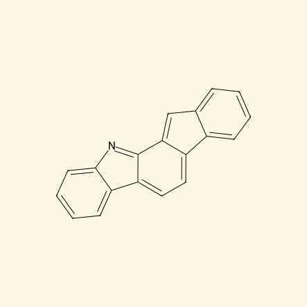 C1=c2c(ccc3c2=Nc2ccccc2-3)-c2ccccc21